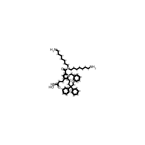 NCCCCCCCN(CCCCCCCN)C(=O)c1cc(CCC(=O)NO)c(CCC(CO)(c2ccccc2)c2ccccc2)n1Cc1ccccc1